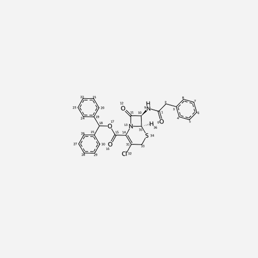 O=C(Cc1ccccc1)N[C@@H]1C(=O)N2C(C(=O)OC(c3ccccc3)c3ccccc3)=C(Cl)CS[C@H]12